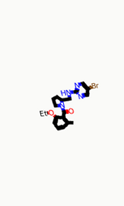 CCOc1cccc(C)c1C(=O)N1CCCC1CNc1ncc(Br)cn1